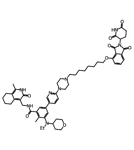 CCN(c1cc(-c2ccc(N3CCN(CCCCCCCCOc4cccc5c4C(=O)N(C4CCC(=O)NC4=O)C5=O)CC3)nc2)cc(C(=O)NCc2c3c(c(C)[nH]c2=O)CCCC3)c1C)C1CCOCC1